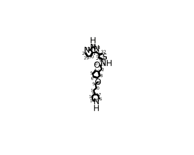 O=C(Cc1cccc(OCCCC2CCNCC2)c1)Nc1cc(-c2n[nH]c3ncccc23)cs1